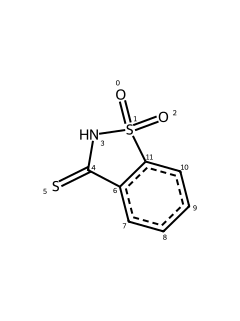 O=S1(=O)NC(=S)c2ccccc21